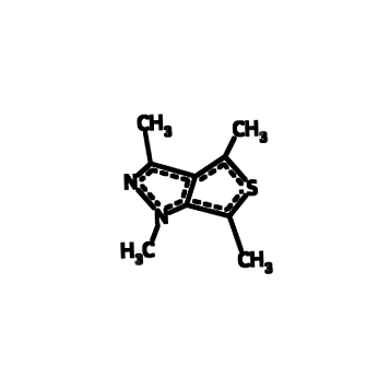 Cc1nn(C)c2c(C)sc(C)c12